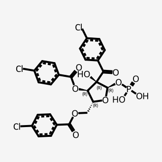 O=C(OC[C@H]1O[C@H](OP(=O)(O)O)[C@@](O)(C(=O)c2ccc(Cl)cc2)[C@@H]1OC(=O)c1ccc(Cl)cc1)c1ccc(Cl)cc1